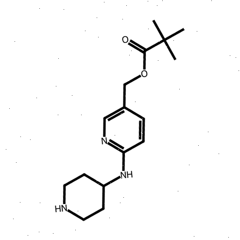 CC(C)(C)C(=O)OCc1ccc(NC2CCNCC2)nc1